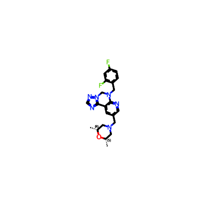 C[C@@H]1CN(Cc2cnc3c(c2)-c2ncnn2CN3Cc2ccc(F)cc2F)C[C@H](C)O1